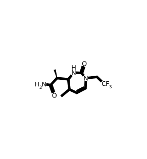 CC1C=CN(CC(F)(F)F)C(=O)NC1[C@H](C)C(N)=O